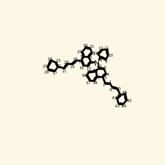 C(C=Cc1ccc(N(c2ccccc2)c2ccc(C=CC=Cc3ccccc3)c3ccccc23)c2ccccc12)=Cc1ccccc1